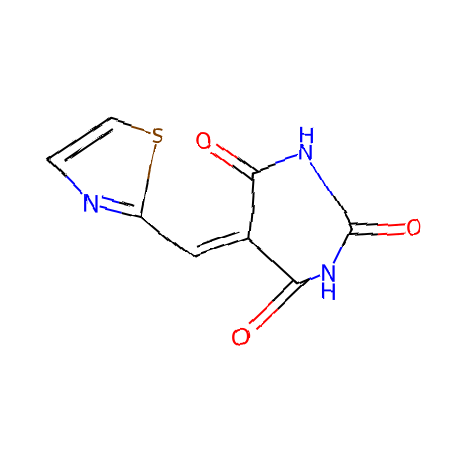 O=C1NC(=O)C(=Cc2nccs2)C(=O)N1